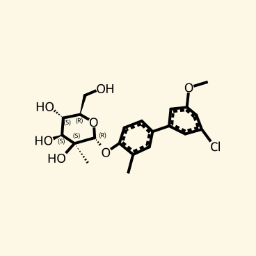 COc1cc(Cl)cc(-c2ccc(O[C@H]3O[C@H](CO)[C@@H](O)[C@H](O)[C@]3(C)O)c(C)c2)c1